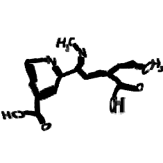 C\C=C/C(=C\C(=N\C)c1cc(C(=O)O)ccn1)C(=O)O